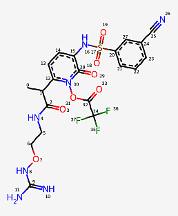 CC(C(=O)NCCONC(=N)N)c1ccc(NS(=O)(=O)c2cccc(C#N)c2)c(=O)n1OC(=O)C(F)(F)F